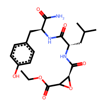 CCOC(=O)C1O[C@@H]1C(=O)N[C@@H](CC(C)C)C(=O)N[C@@H](Cc1ccc(O)cc1)C(N)=O